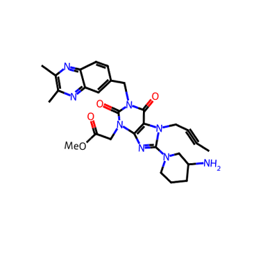 CC#CCn1c(N2CCCC(N)C2)nc2c1c(=O)n(Cc1ccc3nc(C)c(C)nc3c1)c(=O)n2CC(=O)OC